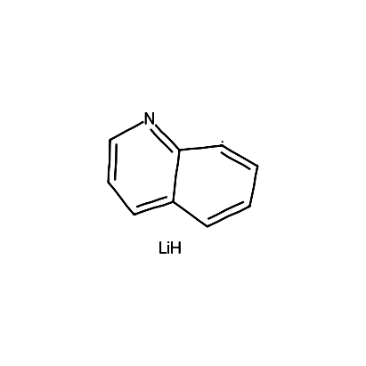 [LiH].[c]1cccc2cccnc12